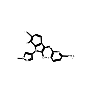 COc1c(Sc2cccc(C(=O)O)n2)c2ccc(Cl)c(F)c2n1-c1cnn(C)c1